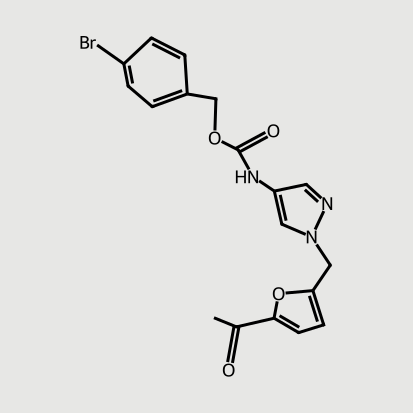 CC(=O)c1ccc(Cn2cc(NC(=O)OCc3ccc(Br)cc3)cn2)o1